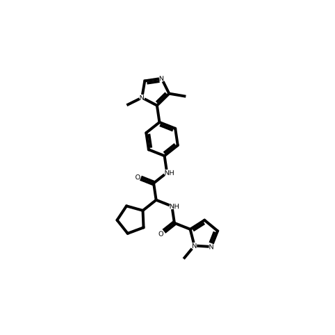 Cc1ncn(C)c1-c1ccc(NC(=O)C(NC(=O)c2ccnn2C)C2CCCC2)cc1